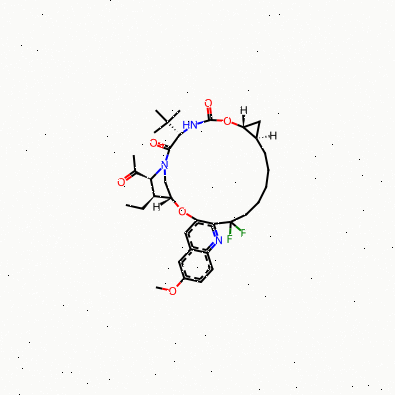 CC[C@@H]1[C@@H]2CN(C(=O)[C@H](C(C)(C)C)NC(=O)O[C@@H]3C[C@H]3CCCCCC(F)(F)c3nc4ccc(OC)cc4cc3O2)[C@@H]1C(C)=O